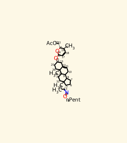 CCCCCO/N=C(\C)[C@H]1CCC2C3CC=C4C[C@@H](OC5C=C[C@H](C)[C@@H](COC(C)=O)O5)CC[C@]4(C)C3CC[C@@]21C